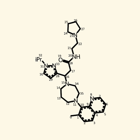 Cc1ccc2cccnc2c1N1CCCN(C(CC(=O)NCCN2CCCC2)c2ccn(C(C)C)n2)CC1